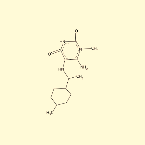 CC1CCC(C(C)Nc2c(N)n(C)c(=O)[nH]c2=O)CC1